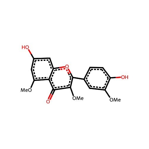 COc1cc(-c2oc3cc(O)cc(OC)c3c(=O)c2OC)ccc1O